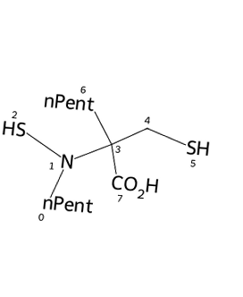 CCCCCN(S)C(CS)(CCCCC)C(=O)O